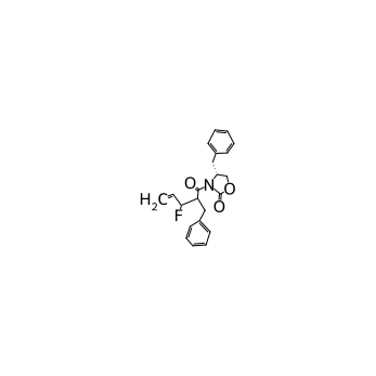 C=CC(F)C(Cc1ccccc1)C(=O)N1C(=O)OC[C@H]1Cc1ccccc1